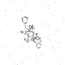 C[Si](C)(Cc1ccccc1)C(F)(F)SC(F)(F)[Si](C)(C)Cc1ccccc1